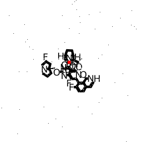 C[C@@H]1Oc2nc(-c3c(F)ccc4cc[nH]c(=O)c34)c(F)c3nc(OC[C@@]45CCCN4C[C@H](F)C5)nc(c23)N2C[C@H]3CC[C@@H]([C@@H]12)N3C(=O)OC(C)(C)C